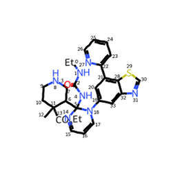 CCNC(=O)NC1(C2CNCCC2(C)C(=O)OCC)N=CC=CN1c1cc(-c2ccccn2)c2scnc2c1